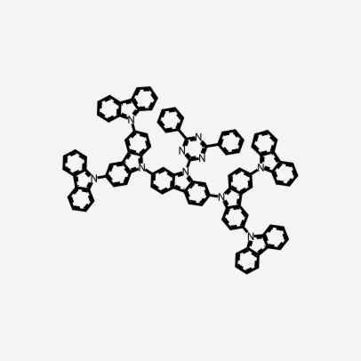 c1ccc(-c2nc(-c3ccccc3)nc(-n3c4cc(-n5c6ccc(-n7c8ccccc8c8ccccc87)cc6c6cc(-n7c8ccccc8c8ccccc87)ccc65)ccc4c4ccc(-n5c6ccc(-n7c8ccccc8c8ccccc87)cc6c6cc(-n7c8ccccc8c8ccccc87)ccc65)cc43)n2)cc1